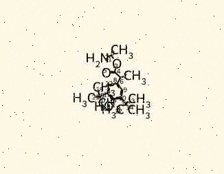 CC(N)OC(=O)C(C)c1cc(C(C)(C)C)c(O)c(C(C)(C)C)c1